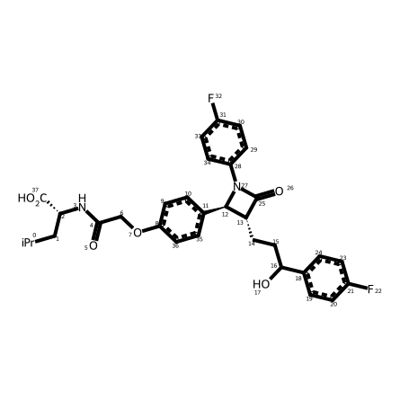 CC(C)C[C@@H](NC(=O)COc1ccc([C@@H]2[C@@H](CCC(O)c3ccc(F)cc3)C(=O)N2c2ccc(F)cc2)cc1)C(=O)O